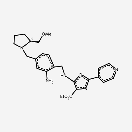 CCOC(=O)c1sc(-c2ccncc2)nc1NCc1ccc(CN2CCC[C@H]2COC)cc1N